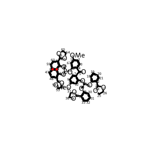 COc1ccc(C(=O)c2ccc(OC)cc2OP(Oc2ccccc2C2OCCO2)Oc2ccccc2C2OCCO2)c(OP(Oc2ccccc2C2OCCO2)Oc2ccccc2C2OCCO2)c1